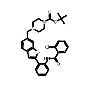 CC(C)(C)OC(=O)N1CCN(Cc2ccc3cc(-c4ccccc4NC(=O)c4ccccc4Cl)oc3c2)CC1